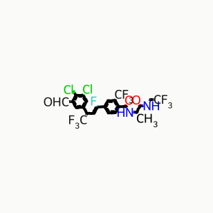 CC(NC(=O)c1ccc(/C(F)=C/C(c2cc(Cl)c(Cl)c(C=O)c2)C(F)(F)F)cc1C(F)(F)F)C(=O)NCC(F)(F)F